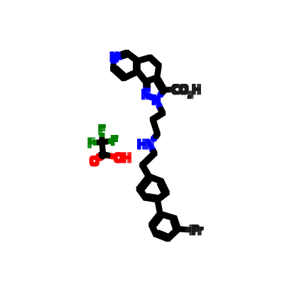 CC(C)c1cccc(-c2ccc(CCNCCCn3nc4c(c3C(=O)O)CCc3cnccc3-4)cc2)c1.O=C(O)C(F)(F)F